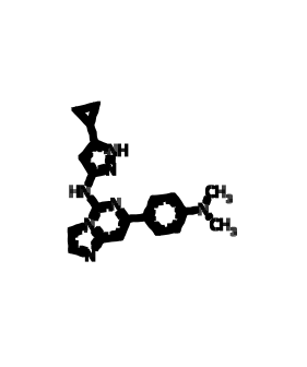 CN(C)c1ccc(-c2cc3nccn3c(Nc3cc(C4CC4)[nH]n3)n2)cc1